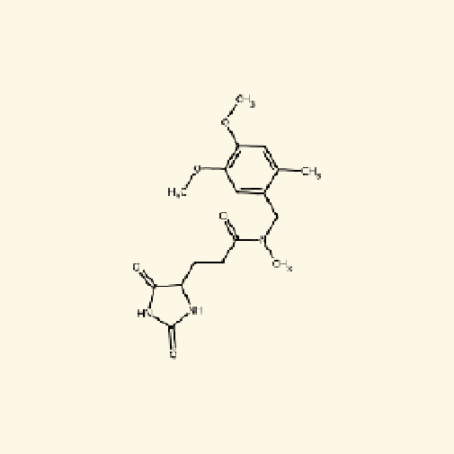 COc1cc(C)c(CN(C)C(=O)CCC2NC(=O)NC2=O)cc1OC